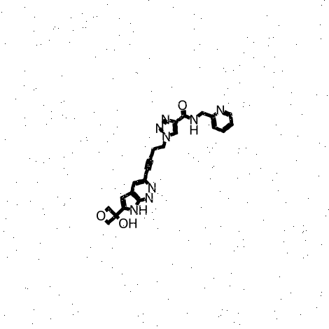 O=C(NCc1ccccn1)c1cn(CCC#Cc2cc3cc(C4(O)COC4)[nH]c3nn2)nn1